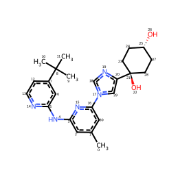 Cc1cc(Nc2cc(C(C)(C)C)ccn2)nc(-n2cnc([C@]3(O)CC[C@H](O)CC3)c2)c1